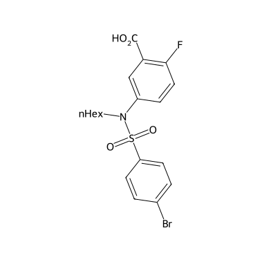 CCCCCCN(c1ccc(F)c(C(=O)O)c1)S(=O)(=O)c1ccc(Br)cc1